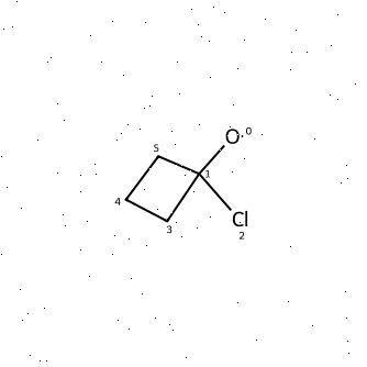 [O]C1(Cl)CCC1